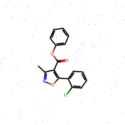 Cc1nsc(-c2ccccc2Cl)c1C(=O)Oc1ccccc1